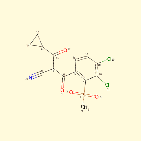 CS(=O)(=O)c1c(C(=O)C(C#N)C(=O)C2CC2)ccc(Cl)c1Cl